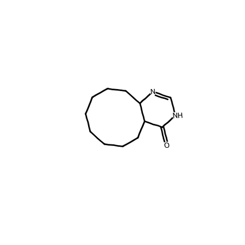 O=C1NC=NC2CCCCCCCCC12